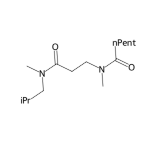 CCCCCC(=O)N(C)CCC(=O)N(C)CC(C)C